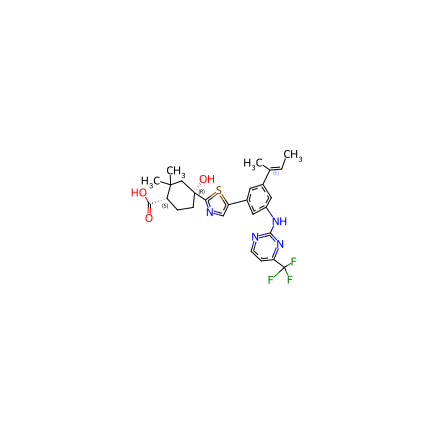 C/C=C(\C)c1cc(Nc2nccc(C(F)(F)F)n2)cc(-c2cnc([C@@]3(O)CC[C@H](C(=O)O)C(C)(C)C3)s2)c1